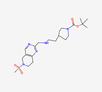 CC(C)(C)OC(=O)N1CCC(CCNCc2ncc3c(n2)CCN(S(C)(=O)=O)C3)CC1